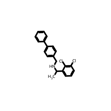 CC(NCc1ccc(-c2ccccc2)cc1)c1cccc(Cl)c1Cl